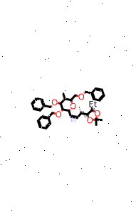 CC[C@H]1OC(C)(C)O[C@H]1[C@@H](C)/C=C\C1OC(COCc2ccccc2)C(C)C(OCc2ccccc2)C1OCc1ccccc1